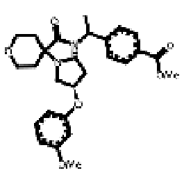 COC(=O)c1ccc(C(C)NC(=O)C2(N3CC[C@@H](Oc4cccc(OC)c4)C3)CCOCC2)cc1